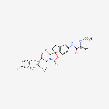 CC(C)[C@H](NC(=O)O)C(=O)Nc1ccc2c(c1)CCC21OC(=O)N(CC(=O)N(Cc2ccc(F)cc2)[C@H](C2CC2)C(F)(F)F)C1=O